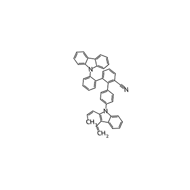 C=Cc1c(/C=C\C)n(-c2ccc(-c3c(C#N)cccc3-c3ccccc3-n3c4ccccc4c4ccccc43)cc2)c2ccccc12